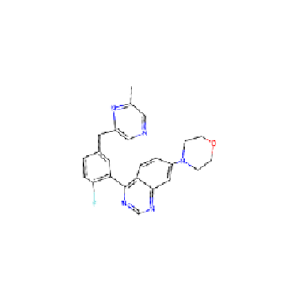 Cc1cncc(Cc2ccc(F)c(-c3ncnc4cc(N5CCOCC5)ccc34)c2)n1